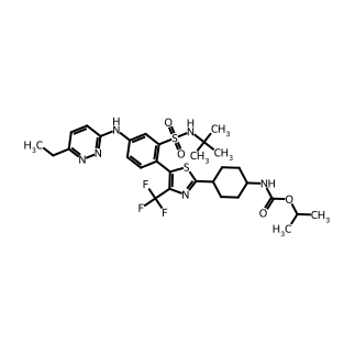 CCc1ccc(Nc2ccc(-c3sc(C4CCC(NC(=O)OC(C)C)CC4)nc3C(F)(F)F)c(S(=O)(=O)NC(C)(C)C)c2)nn1